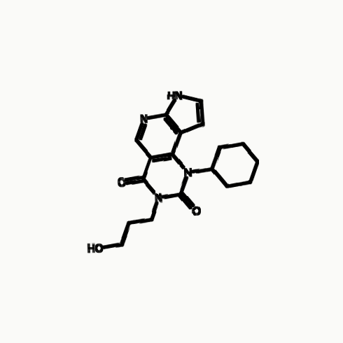 O=c1c2cnc3[nH]ccc3c2n(C2CCCCC2)c(=O)n1CCCO